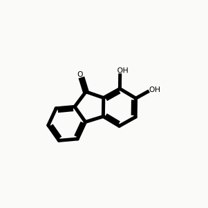 O=C1c2ccccc2-c2ccc(O)c(O)c21